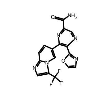 NC(=O)c1cnc(-c2ncco2)c(-c2ccc3ncc(C(F)(F)F)n3c2)n1